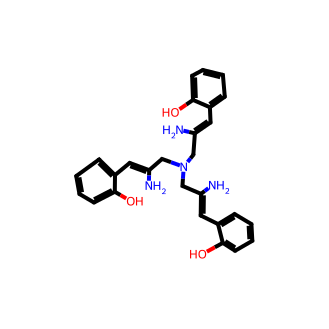 NC(=Cc1ccccc1O)CN(CC(N)=Cc1ccccc1O)CC(N)=Cc1ccccc1O